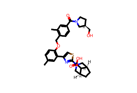 Cc1ccc(OCc2ccc(C(=O)N3CC[C@@H](CO)C3)cc2C)c(-c2csc(N3C[C@H]4CC[C@@H](C3)C4C(=O)O)n2)c1